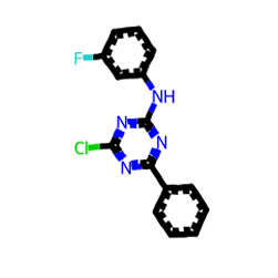 Fc1cccc(Nc2nc(Cl)nc(-c3ccccc3)n2)c1